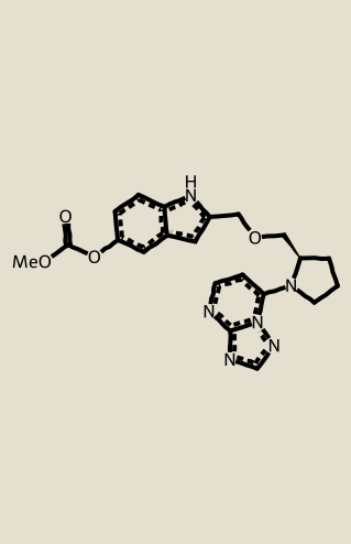 COC(=O)Oc1ccc2[nH]c(COC[C@H]3CCCN3c3ccnc4ncnn34)cc2c1